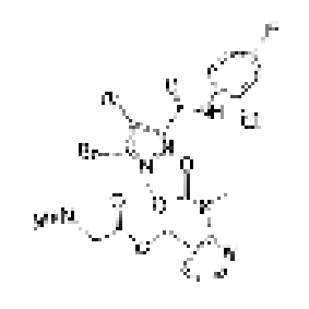 CNCC(=O)OCc1cccnc1N(C)C(=O)OCn1nc(C(=O)Nc2ccc(F)cc2Cl)c(Br)c1Br